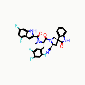 CN(C(=O)c1cc2c(F)cc(F)cc2[nH]1)[C@@H](Cc1cc(F)c(F)cc1F)C(=O)N1C[C@]2(C[C@H]1C#N)C(=O)Nc1ccccc12